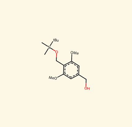 COc1cc(CO)cc(OC)c1CO[Si](C)(C)C(C)(C)C